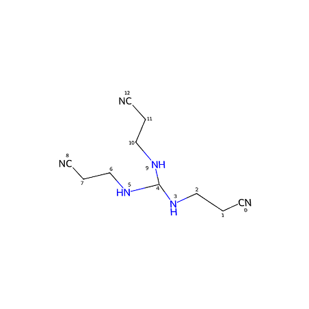 N#CCCNC(NCCC#N)NCCC#N